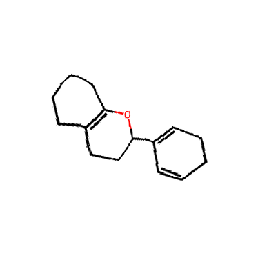 C1=CC(C2CCC3=C(CCCC3)O2)=CCC1